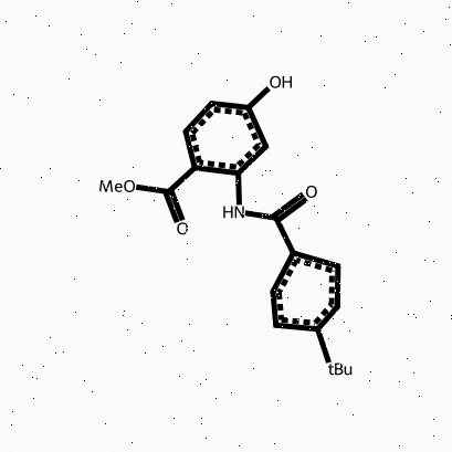 COC(=O)c1ccc(O)cc1NC(=O)c1ccc(C(C)(C)C)cc1